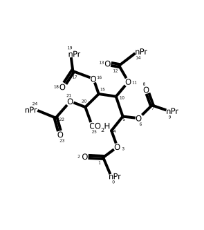 CCCC(=O)OCC(OC(=O)CCC)C(OC(=O)CCC)C(OC(=O)CCC)C(OC(=O)CCC)C(=O)O